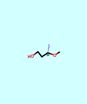 CO[C@@H](I)CCO